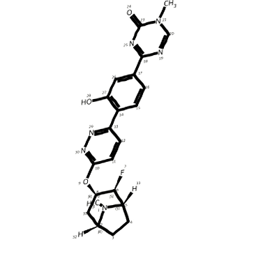 CN1[C@@H]2CC[C@H]1[C@H](F)[C@H](Oc1ccc(-c3ccc(-c4ncn(C)c(=O)n4)cc3O)nn1)C2